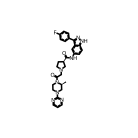 C[C@H]1CN(c2ncccn2)CCN1C(=O)CN1CC[C@@H](C(=O)Nc2ccc3[nH]nc(-c4ccc(F)cc4)c3c2)C1